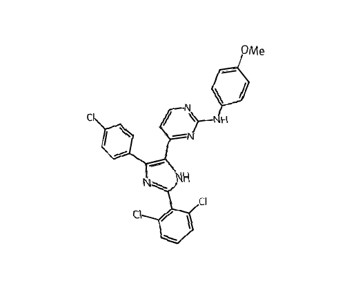 COc1ccc(Nc2nccc(-c3[nH]c(-c4c(Cl)cccc4Cl)nc3-c3ccc(Cl)cc3)n2)cc1